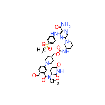 CN(C(=O)c1cc(N2CCC(COC(=O)NC3CCCN(c4cnc(C(N)=O)c(Nc5ccc(S(C)(=O)=O)cc5)n4)C3)CC2)ccc1C=O)C1CCC(=O)NC1=O